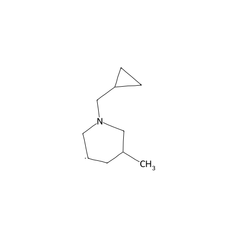 CC1C[CH]CN(CC2CC2)C1